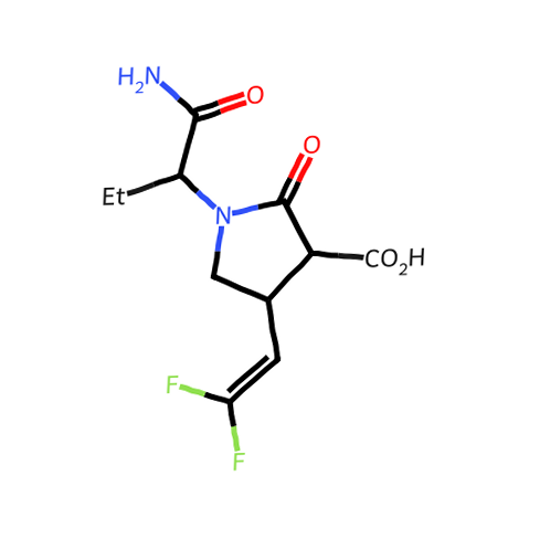 CCC(C(N)=O)N1CC(C=C(F)F)C(C(=O)O)C1=O